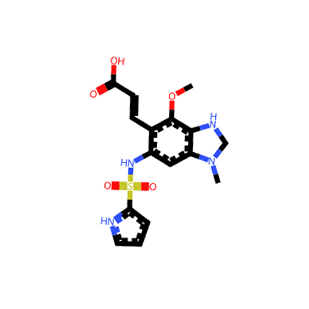 COc1c(C=CC(=O)O)c(NS(=O)(=O)c2ccc[nH]2)cc2c1NCN2C